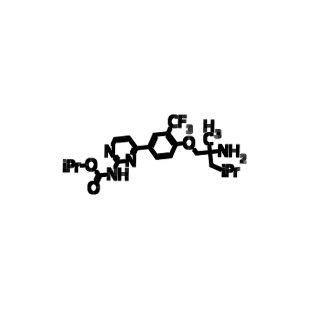 CC(C)CC(C)(N)COc1ccc(-c2ccnc(NC(=O)OC(C)C)n2)cc1C(F)(F)F